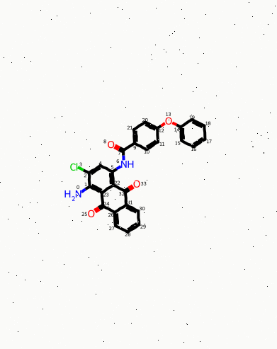 Nc1c(Cl)cc(NC(=O)c2ccc(Oc3ccccc3)cc2)c2c1C(=O)c1ccccc1C2=O